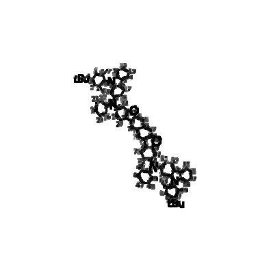 Cc1cc(C(C)(C)C)cc(C)c1-n1c2ccccc2c2ccc(N(c3ccccc3)c3ccc4c(c3)oc3cc5cc6oc7cc(N(c8ccccc8)c8ccc9c%10ccccc%10n(-c%10c(C)cc(C(C)(C)C)cc%10C)c9c8)ccc7c6cc5cc34)cc21